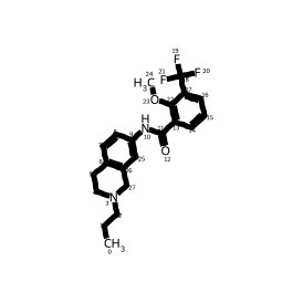 CCCN1CCc2ccc(NC(=O)c3cccc(C(F)(F)F)c3OC)cc2C1